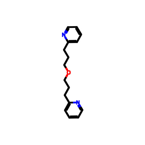 c1ccc(CCCOCCCc2ccccn2)nc1